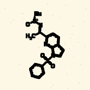 CC[C@H](C)[S+]([O-])/N=C(\C)c1ccc2ccn(S(=O)(=O)c3ccccc3)c2n1